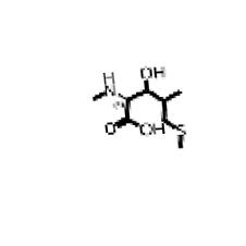 CN[C@@H](C(=O)O)C(O)C(C)CSC